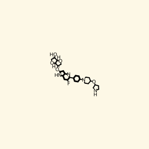 O[C@@H]1CO[C@H]2[C@@H]1OC[C@H]2Oc1cc2nc(-c3ccc(N4CCC(OC5CCNC5)CC4)cc3)c(F)cc2[nH]1